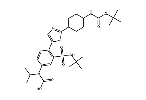 CC(C)N(C(=O)O)c1ccc(-c2cnc(C3CCC(NC(=O)OC(C)(C)C)CC3)s2)c(S(=O)(=O)NC(C)(C)C)c1